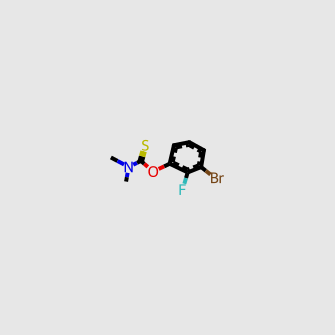 CN(C)C(=S)Oc1cccc(Br)c1F